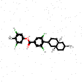 C[C@H]1CC[C@@H]2CC(c3c(F)cc(C(=O)Oc4cc(F)c(C#N)c(F)c4)cc3F)CC[C@H]2C1